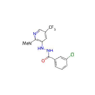 CNc1ncc(C(F)(F)F)cc1NNC(=O)c1cccc(Cl)c1